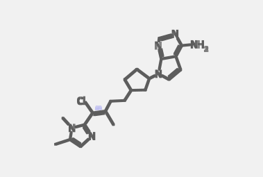 C/C(CCC1CCC(n2ccc3c(N)ncnc32)C1)=C(/Cl)c1ncc(C)n1C